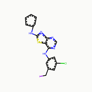 Clc1cc(CI)cc(Nc2ncnc3nc(Nc4ccccc4)sc23)c1